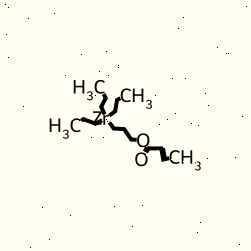 CC=CC(=O)OCC[CH2][Zr]([CH2]CC)([CH2]CC)[CH2]CC